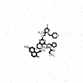 C#Cc1c(F)ccc2cc(O)cc([C@H]3COc4c(nc(OC[C@]5(C)C[C@@H](F)CN5CC5CCOCC5)nc4NCC4(N(C)C(=O)C=C)CCCC4)C3)c12